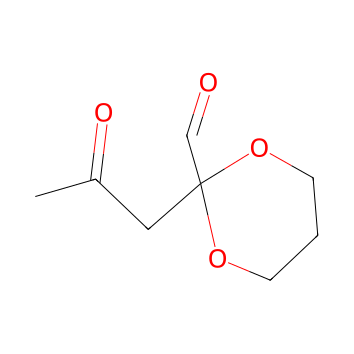 CC(=O)CC1(C=O)OCCCO1